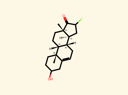 C[C@]12CCC(O)CC1=CC[C@@H]1[C@H]2CC[C@]2(C)C(=O)C(F)C[C@@H]12